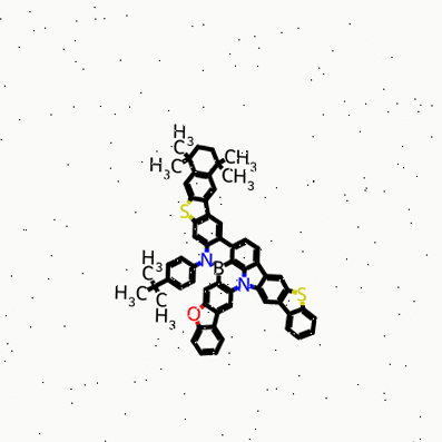 CC(C)(C)c1ccc(N2B3c4cc5oc6ccccc6c5cc4-n4c5cc6c(cc5c5ccc(c3c54)-c3cc4c(cc32)sc2cc3c(cc24)C(C)(C)CCC3(C)C)sc2ccccc26)cc1